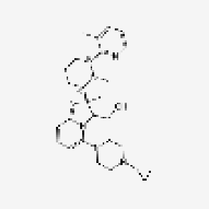 Cc1cccnc1[C@@H]1CCC[C@H](C2(C)N=C3C=CC=C(N4CCN(C5CC5)CC4)N3C2CO)N1C